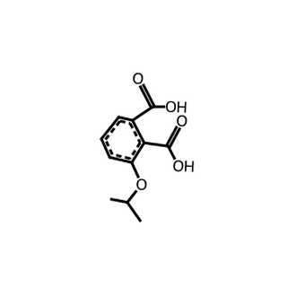 CC(C)Oc1cccc(C(=O)O)c1C(=O)O